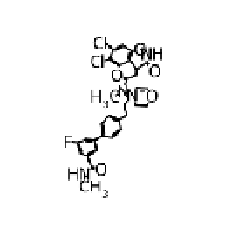 CNC(=O)c1cc(F)cc(-c2ccc(CC[N+]3(N(C)C(=O)CC4C(=O)NOc5cc(Cl)c(Cl)cc54)CCOCC3)cc2)c1